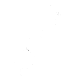 CN(C)CCCCN1CCOCC1